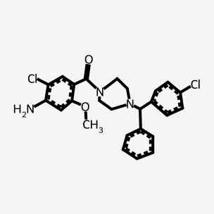 COc1cc(N)c(Cl)cc1C(=O)N1CCN(C(c2ccccc2)c2ccc(Cl)cc2)CC1